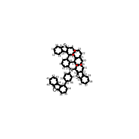 c1cc(-c2cccc3sc4ccccc4c23)c(-c2cccc3ccccc23)c(N(c2ccc(-c3cccc4oc5ccccc5c34)cc2)c2cccc3c2sc2ccccc23)c1